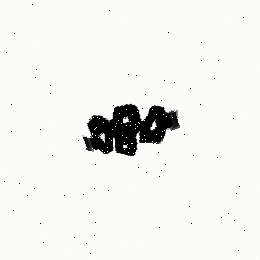 Brc1ccc(C23CCC(c4ccc(Br)cc4)(C2)C2CCCC23)cc1